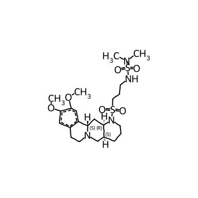 COc1cc2c(cc1OC)[C@@H]1C[C@@H]3[C@@H](CCCN3S(=O)(=O)CCCNS(=O)(=O)N(C)C)CN1CC2